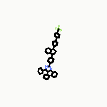 FC(F)(F)c1ccc(-c2ccc(C3CC=C(c4ccc(C5=NC(C6=CCCCC6)C(c6ccccc6)C(C6=CC=CCC6)=N5)cc4)C4=C3CCC=C4)cc2)cc1